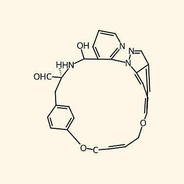 O=C[C@@H]1Cc2ccc(cc2)OC/C=C/COc2ccc3c(cnn3-c3ncccc3C(O)N1)c2